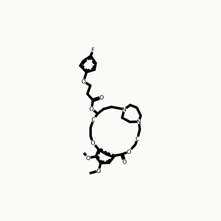 COc1cc2cc(c1OC)OCCCC(OC(=O)CCOc1ccc(F)cc1)CCN1CCCN(CCCOC2=O)CC1